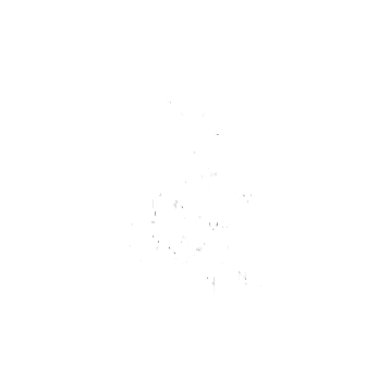 COc1cc(C(=O)N2CC3CC[C@@H]2CN(c2cnc(N)cc2OC)C3)ncc1Oc1ccc(F)cc1